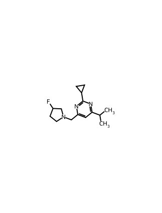 CC(C)c1cc(CN2CCC(F)C2)nc(C2CC2)n1